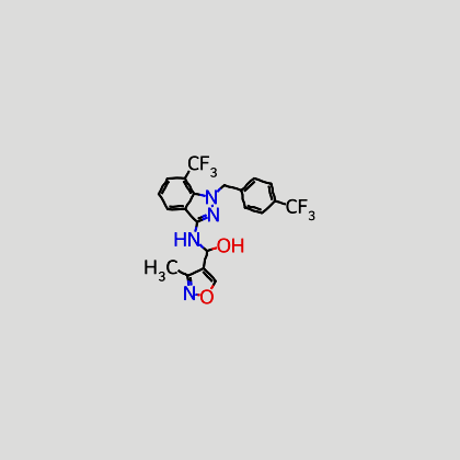 Cc1nocc1C(O)Nc1nn(Cc2ccc(C(F)(F)F)cc2)c2c(C(F)(F)F)cccc12